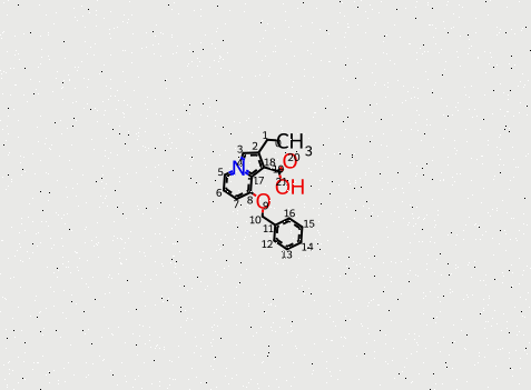 CCc1cn2cccc(OCc3ccccc3)c2c1C(=O)O